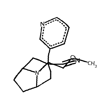 COCCN1C2CCC1CC(C#N)(c1cccnc1)C2